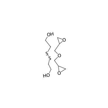 C(OCC1CO1)C1CO1.OCCSSCCO